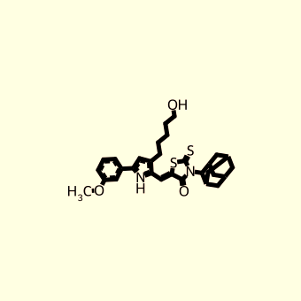 COc1cccc(-c2cc(CCCCCO)c(/C=C3\SC(=S)N(C4C5CC6CC(C5)CC4C6)C3=O)[nH]2)c1